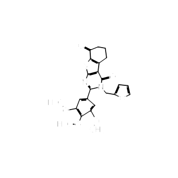 COc1cc(-c2nc3sc4c(c3c(=O)n2Cc2ccco2)CCCC4=O)cc(OC)c1OC